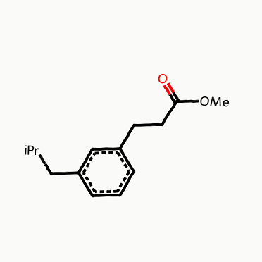 COC(=O)CCc1cccc(CC(C)C)c1